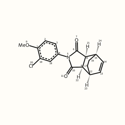 COc1ccc(N2C(=O)[C@@H]3[C@H](C2=O)[C@@H]2C=C[C@H]3CC2)cc1Cl